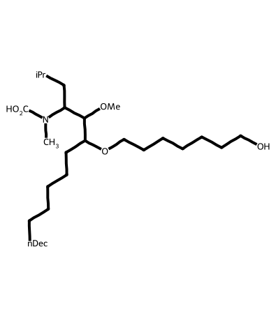 CCCCCCCCCCCCCCCC(OCCCCCCCO)C(OC)C(CC(C)C)N(C)C(=O)O